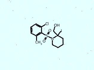 Cc1cccc(Cl)c1S(=O)(=O)N1CCCCC1(I)CO